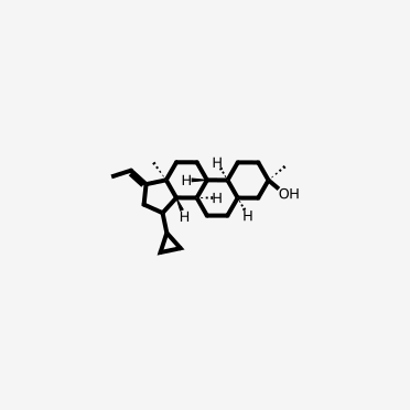 C/C=C1\CC(C2CC2)[C@H]2[C@@H]3CC[C@@H]4C[C@](C)(O)CC[C@@H]4[C@H]3CC[C@]12C